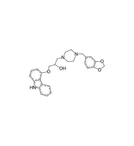 OC(COc1cccc2[nH]c3ccccc3c12)CN1CCN(Cc2ccc3c(c2)OCO3)CC1